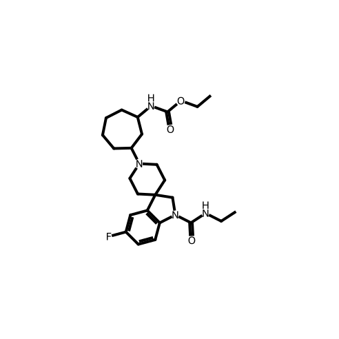 CCNC(=O)N1CC2(CCN(C3CCCCC(NC(=O)OCC)C3)CC2)c2cc(F)ccc21